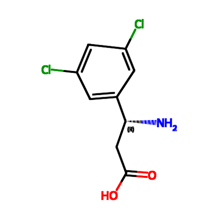 N[C@H](CC(=O)O)c1cc(Cl)cc(Cl)c1